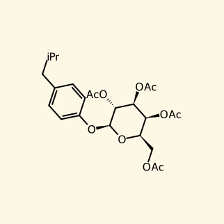 CC(=O)OC[C@H]1O[C@@H](Oc2ccc(CC(C)C)cc2)[C@H](OC(C)=O)[C@@H](OC(C)=O)[C@H]1OC(C)=O